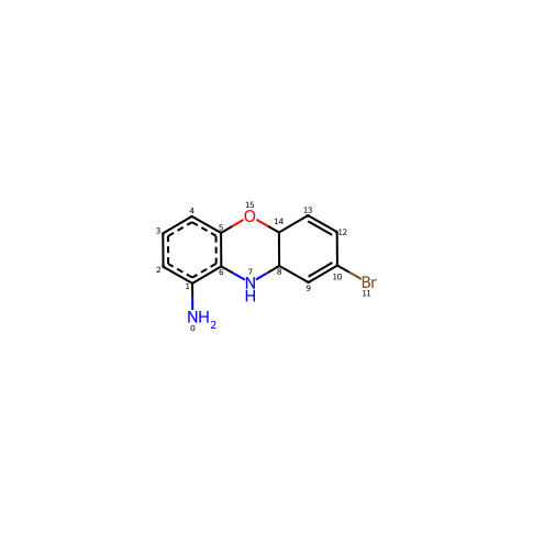 Nc1cccc2c1NC1C=C(Br)C=CC1O2